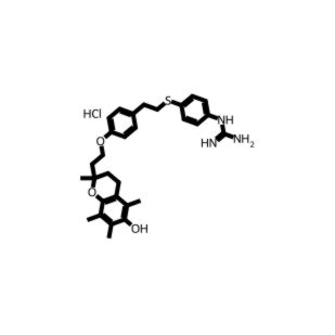 Cc1c(C)c2c(c(C)c1O)CCC(C)(CCOc1ccc(CCSc3ccc(NC(=N)N)cc3)cc1)O2.Cl